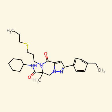 CCCSCCCN1C(=O)c2cc(-c3ccc(CC)cc3)nn2CC1(C)C(=O)NC1CCCCC1